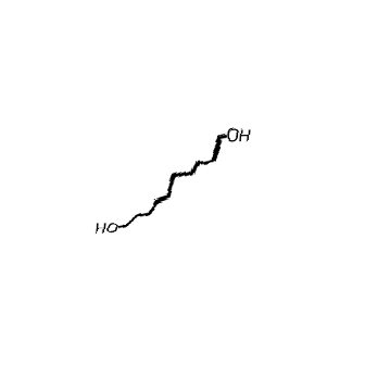 OC=CCCCCCCCCO